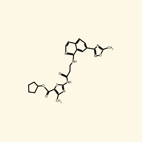 Cc1nc(-c2ccc3ccnc(NCCC(=O)Nc4nc(C)c(C(=O)OC5CCCC5)s4)c3c2)no1